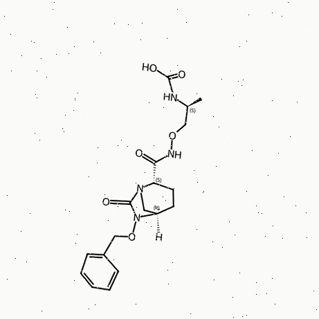 C[C@@H](CONC(=O)[C@@H]1CC[C@@H]2CN1C(=O)N2OCc1ccccc1)NC(=O)O